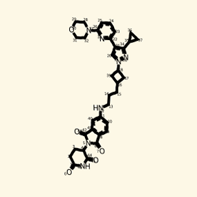 O=C1CCC(N2C(=O)c3ccc(NCCCC4CC(n5cc(-c6cccc(N7CCOCC7)n6)c(C6CC6)n5)C4)cc3C2=O)C(=O)N1